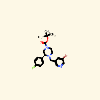 CC(C)(C)OC(=O)N1CCN(Cc2cncc(Br)c2)[C@@H](c2ccc(F)cc2)C1